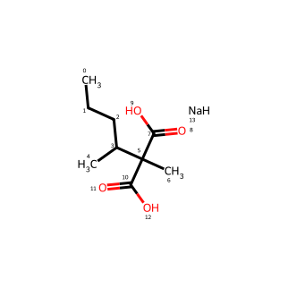 CCCC(C)C(C)(C(=O)O)C(=O)O.[NaH]